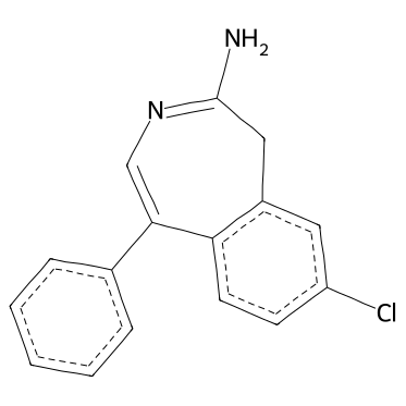 NC1=NC=C(c2ccccc2)c2ccc(Cl)cc2C1